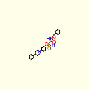 O=C(CNS(=O)(=O)c1ccc(N2CCC(c3ccccc3)CC2)cc1)NOCc1ccccc1